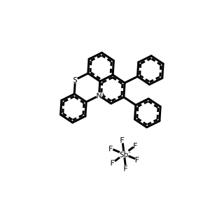 [F][Sb-]([F])([F])([F])([F])[F].c1ccc(-c2c[n+]3c4c(cccc4c2-c2ccccc2)Sc2ccccc2-3)cc1